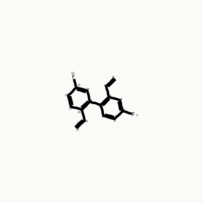 C=Cc1cc(F)ccc1-c1cc(F)ccc1C=C